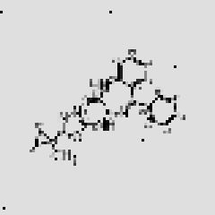 CC1(c2nnc(NC3N=C(c4ccccc4)c4ccccc4NC3=O)o2)CC1